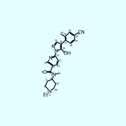 CCN1CCC(N(C)C(=O)c2ccc(-n3ncc(-c4ccc(C#N)cc4C)c3O)nc2)CC1